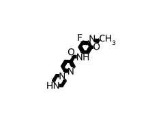 Cc1nc2c(F)cc(NC(=O)c3ccc(N4CCNCC4)nc3)cc2o1